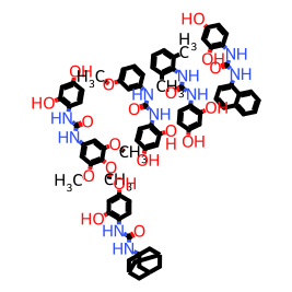 COc1cc(NC(=O)Nc2ccc(O)cc2O)cc(OC)c1OC.COc1cccc(NC(=O)Nc2ccc(O)cc2O)c1.Cc1cccc(C)c1NC(=O)Nc1ccc(O)cc1O.O=C(Nc1ccc(O)cc1O)NC12CC3CC(CC(C3)C1)C2.O=C(Nc1ccc(O)cc1O)Nc1cccc2ccccc12